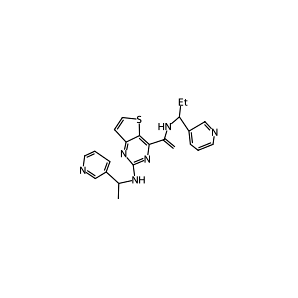 C=C(NC(CC)c1cccnc1)c1nc(NC(C)c2cccnc2)nc2ccsc12